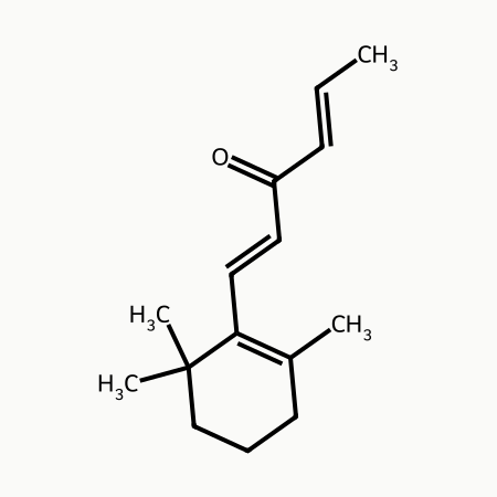 C/C=C/C(=O)/C=C/C1=C(C)CCCC1(C)C